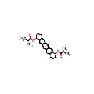 CC(C)C(=O)OC1CC=Cc2cc3cc4cc5c(cc4cc3cc21)C=CCC5OC(=O)C(C)C